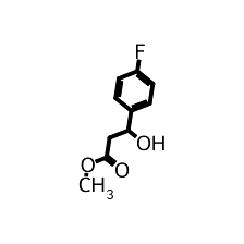 COC(=O)CC(O)c1ccc(F)cc1